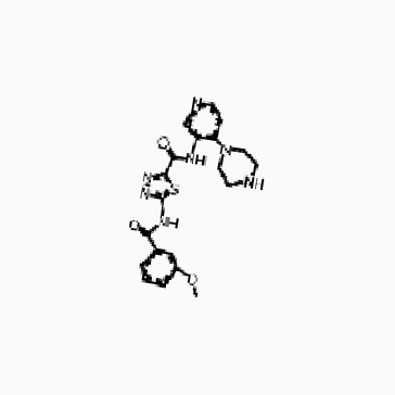 COc1cccc(C(=O)Nc2nnc(C(=O)Nc3cnccc3N3CCNCC3)s2)c1